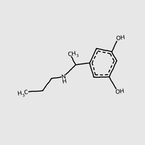 CCCNC(C)c1cc(O)cc(O)c1